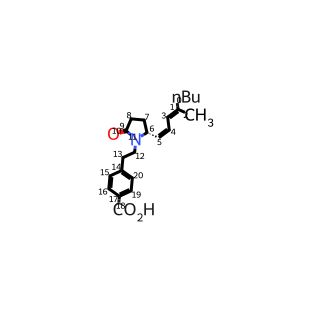 CCCC/C(C)=C/C=C\[C@H]1CCC(=O)N1CCc1ccc(C(=O)O)cc1